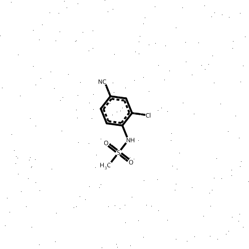 CS(=O)(=O)Nc1ccc(C#N)cc1Cl